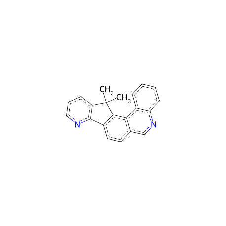 CC1(C)c2cccnc2-c2ccc3cnc4ccccc4c3c21